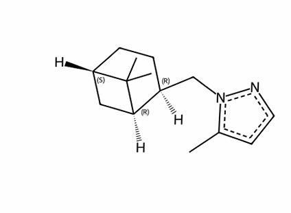 Cc1ccnn1C[C@@H]1CC[C@H]2C[C@H]1C2(C)C